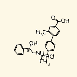 Cc1cc(C(=O)O)ccc1-c1ccc(C[C@@H](C)NC[C@@H](O)c2ccccc2)cc1.Cl